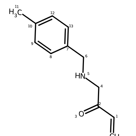 C=CC(=O)CNCc1ccc(C)cc1